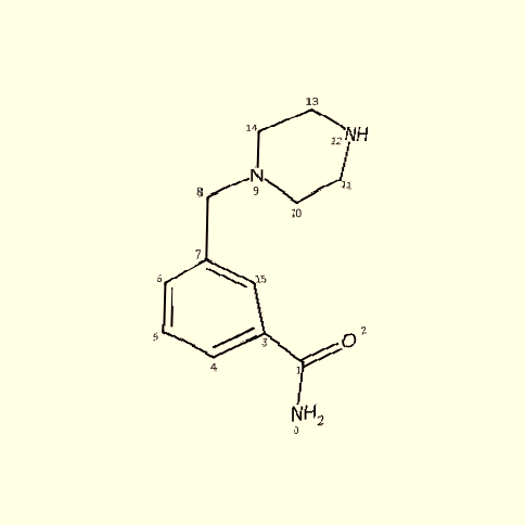 NC(=O)c1cccc(CN2CCNCC2)c1